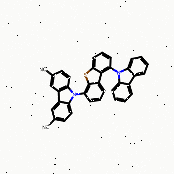 N#Cc1ccc2c(c1)c1cc(C#N)ccc1n2-c1cccc2c1sc1cccc(-n3c4ccccc4c4ccccc43)c12